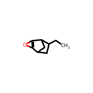 CCC1CC2CC1C1=C2O1